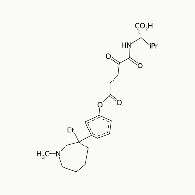 CCC1(c2cccc(OC(=O)CCC(=O)C(=O)N[C@H](C(=O)O)C(C)C)c2)CCCCN(C)C1